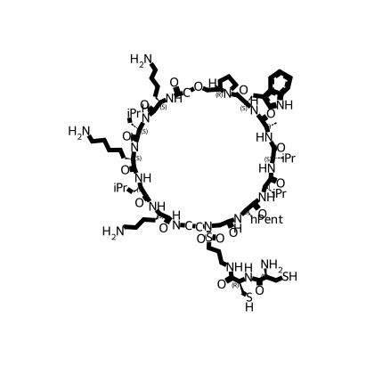 CCCCC[C@@H]1NC(=O)CN(S(=O)(=O)CCCNC(=O)[C@H](CS)NC(=O)[C@@H](N)CS)CCNC(=O)[C@H](CCCCN)NC(=O)[C@H](CC(C)C)NC(=O)[C@H](CCCCCN)NC(=O)[C@H](CC(C)C)NC(=O)[C@H](CCCCN)NC(=O)COC[C@H]2CCCN2C(=O)[C@H](Cc2c[nH]c3ccccc23)NC(=O)[C@H](C)NC(=O)[C@H](C(C)C)NC(=O)[C@H](C(C)C)NC1=O